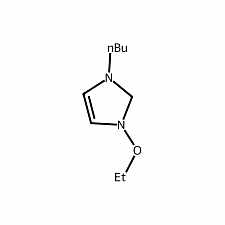 CCCCN1C=CN(OCC)C1